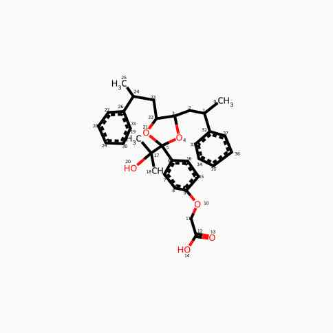 CC(CC1OC(c2ccc(OCC(=O)O)cc2)(C(C)(C)O)OC1CC(C)c1ccccc1)c1ccccc1